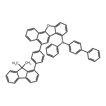 CC1(C)c2ccccc2-c2cccc(-c3ccc(-c4cc5c(oc6cccc(N(c7ccccc7)c7ccc(-c8ccccc8)cc7)c65)c5ccccc45)cc3)c21